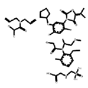 C=CCN(CC=C)C(=O)C(Cl)Cl.CC(C)=C1OC(=O)N(c2cc(OC3CCCC3)c(Cl)cc2F)C1=O.CCc1cccc(C)c1N(C(=O)CCl)C(C)COC.O=C(O)CNCP(=O)(O)O